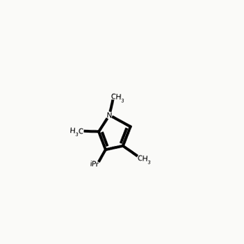 Cc1cn(C)c(C)c1C(C)C